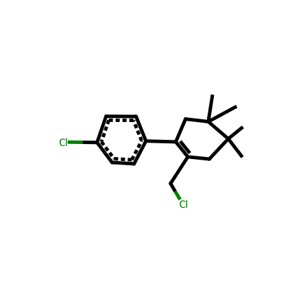 CC1(C)CC(CCl)=C(c2ccc(Cl)cc2)CC1(C)C